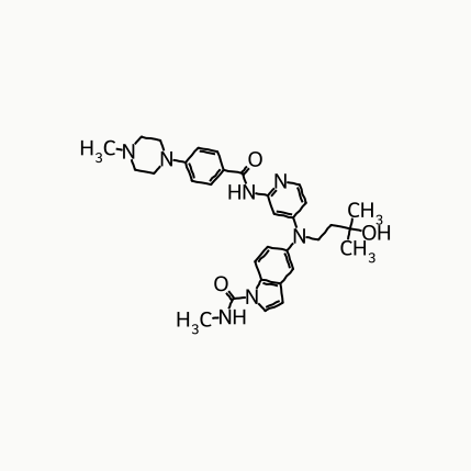 CNC(=O)n1ccc2cc(N(CCC(C)(C)O)c3ccnc(NC(=O)c4ccc(N5CCN(C)CC5)cc4)c3)ccc21